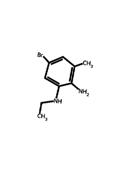 CCNc1cc(Br)cc(C)c1N